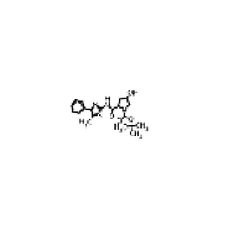 Cc1sc(NC(=O)C2CC(O)CN2C(=O)OC(C)(C)C)nc1-c1ccccc1